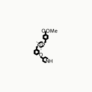 COC(=O)c1ccc(CN2C[C@@H](C)N(Cc3cccc(OCC4CCNCC4)c3)[C@@H](C)C2)cc1